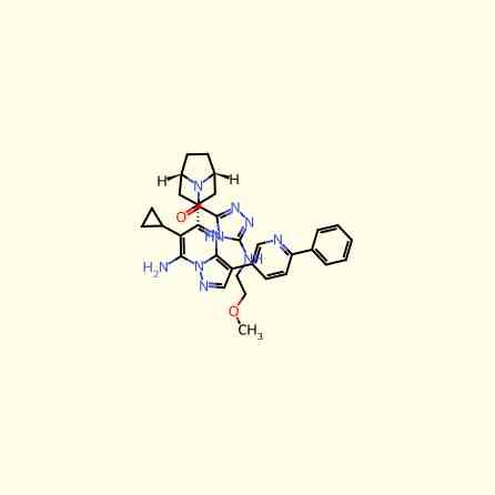 COCCNc1nnc(C(=O)N2[C@@H]3CC[C@H]2C[C@@H](c2nc4c(-c5ccc(-c6ccccc6)nc5)cnn4c(N)c2C2CC2)C3)[nH]1